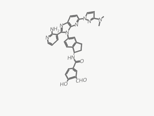 CN(C)c1ccn(-c2ccc3nc(-c4cccnc4N)n(-c4ccc5c(c4)CC[C@@H]5NC(=O)c4ccc(O)c(C=O)c4)c3n2)n1